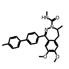 CNC(=O)N1N=C(c2ccc(-c3ccc(C)cc3)cc2)c2cc(OC)c(OC)cc2CC1C